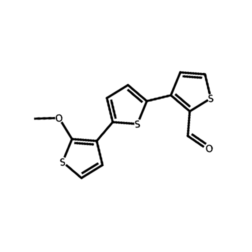 COc1sccc1-c1ccc(-c2ccsc2C=O)s1